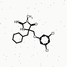 CN1C(=N)NC(COc2cc(Cl)cc(Cl)c2)(CC2CCCCC2)C1=O